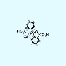 O=C(O)c1ccccc1S(=O)(=O)c1ccccc1C(=O)O.[Cu]